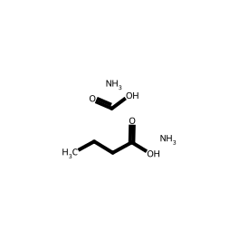 CCCC(=O)O.N.N.O=CO